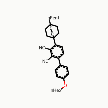 CCCCCCOc1ccc(-c2ccc(C34CCC(CCCCC)(CC3)CC4)c(C#N)c2C#N)cc1